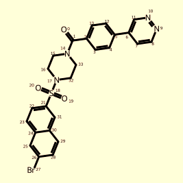 O=C(c1ccc(-c2ccnnc2)cc1)N1CCN(S(=O)(=O)c2ccc3cc(Br)ccc3c2)CC1